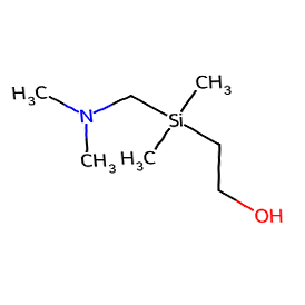 CN(C)C[Si](C)(C)CCO